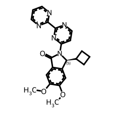 COc1cc2c(cc1OC)[C@H](C1CCC1)N(c1ccnc(-c3ncccn3)n1)C2=O